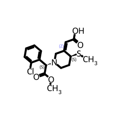 COC(=O)[C@H](c1ccccc1Cl)N1CC[C@H](SC)/C(=C\C(=O)O)C1